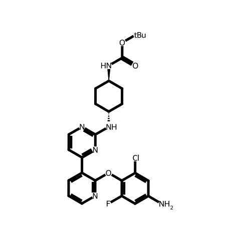 CC(C)(C)OC(=O)N[C@H]1CC[C@H](Nc2nccc(-c3cccnc3Oc3c(F)cc(N)cc3Cl)n2)CC1